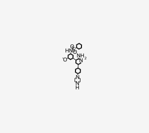 COc1cc(NS(=O)(=O)c2ccccc2)cc(-c2cc(-c3ccc(N4CCNCC4)cc3)cnc2N)c1